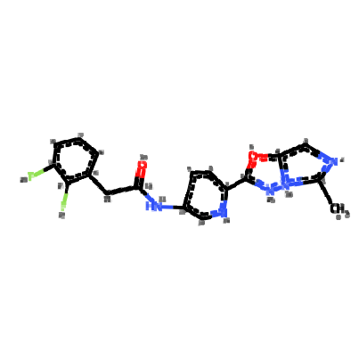 Cc1ncc2oc(-c3ccc(NC(=O)Cc4cccc(F)c4F)cn3)nn12